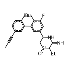 CC#Cc1ccc(C(C)CC)c(-c2cc(C3C[S+]([O-])C(CC)C(=N)N3)cc(F)c2C)c1